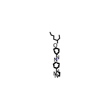 CCCCC(CC)COc1ccc(/N=N/c2ccc(-n3ccnn3)cc2)cc1